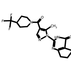 Cc1c(C(=O)N2CCC(C(F)(F)F)CC2)cnn1-c1nc2c(c(=O)[nH]1)CCC2